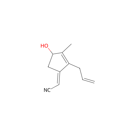 C=CCC1=C(C)C(O)CC1=CC#N